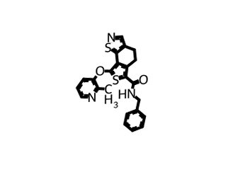 Cc1ncccc1Oc1sc(C(=O)NCc2ccccc2)c2c1-c1sncc1CC2